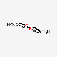 O=C(O)c1ccc2cc(OCCOc3ccc4cc(C(=O)O)ccc4c3)ccc2c1